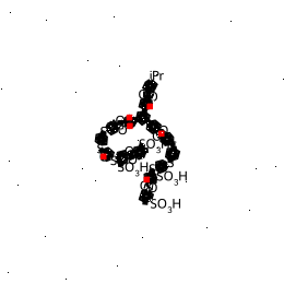 Cc1ccc(S(=O)(=O)c2ccc(Sc3ccc(Sc4ccc(Sc5ccc(S(=O)(=O)c6ccc(-c7cc(-c8ccc(S(=O)(=O)c9ccc(Sc%10ccc(Sc%11ccc(Sc%12ccc(S(=O)(=O)c%13ccc(C)c(S(=O)(=O)O)c%13)cc%12S(=O)(=O)O)cc%11)cc%10)cc9)cc8)cc(-c8ccc(S(=O)(=O)c9ccc(C(C)C)cc9)cc8)c7)cc6)cc5)cc4)cc3)c(S(=O)(=O)O)c2)cc1S(=O)(=O)O